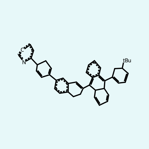 CC(C)(C)C1C=CC=C(C2=c3ccccc3=C(C3=Cc4cc(C5=CCC(c6ccccn6)C=C5)ccc4CC3)C3C=CC=CC23)C1